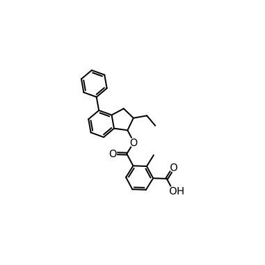 CCC1Cc2c(-c3ccccc3)cccc2C1OC(=O)c1cccc(C(=O)O)c1C